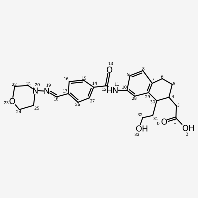 O=C(O)CC1CCc2ccc(NC(=O)c3ccc(C=NN4CCOCC4)cc3)cc2C1CCO